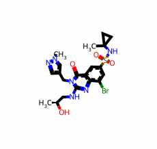 C[C@H](O)CNc1nc2c(Br)cc(S(=O)(=O)NC3(C)CC3)cc2c(=O)n1Cc1cnn(C)c1